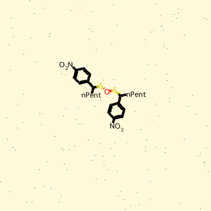 CCCCCC(SOSC(CCCCC)c1ccc([N+](=O)[O-])cc1)c1ccc([N+](=O)[O-])cc1